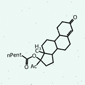 CCCCCC(=O)OC1(C(C)=O)CCC2C3CCC4=CC(=O)CCC4C3CCC21C